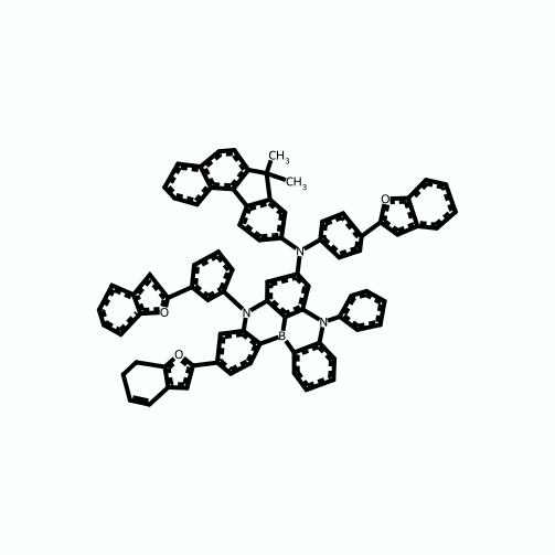 CC1(C)c2cc(N(c3ccc(-c4cc5ccccc5o4)cc3)c3cc4c5c(c3)N(c3cccc(-c6cc7ccccc7o6)c3)c3cc(-c6cc7c(o6)CCC=C7)ccc3B5c3ccccc3N4c3ccccc3)ccc2-c2c1ccc1ccccc21